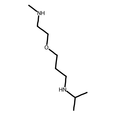 CNCCOCCCNC(C)C